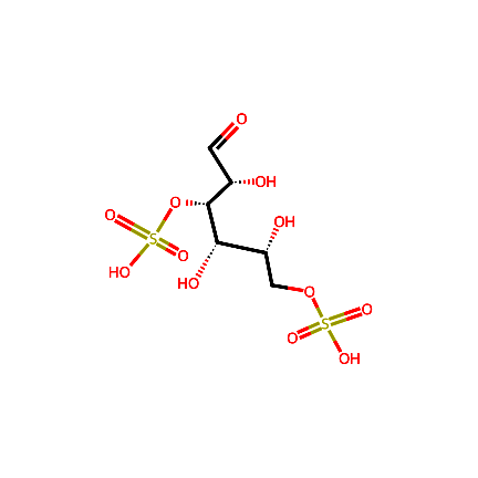 O=C[C@H](O)[C@@H](OS(=O)(=O)O)[C@@H](O)[C@H](O)COS(=O)(=O)O